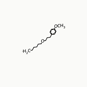 [CH2]CCCCCOCCCc1ccc(OC)cc1